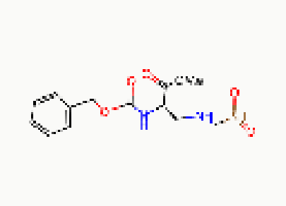 COC(=O)[C@@H](CNC[SH](=O)=O)NC(=O)OCc1ccccc1